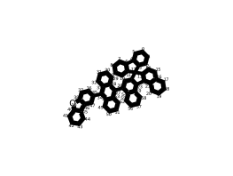 c1ccc2c(c1)-c1ccccc1C21c2ccc3ccccc3c2-c2c1cc(-c1c3ccccc3c(-c3ccc4oc5ccccc5c4c3)c3ccccc13)c1ccccc21